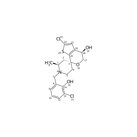 C[C@H]1C[C@@]2(CCN1Cc1cccc(Cl)c1O)OC[C@H](O)c1cc(Cl)sc12